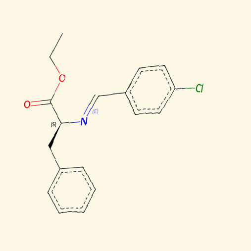 CCOC(=O)[C@H](Cc1ccccc1)/N=C/c1ccc(Cl)cc1